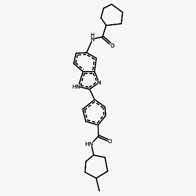 CC1CCC(NC(=O)c2ccc(-c3nc4cc(NC(=O)C5CCCCC5)ccc4[nH]3)cc2)CC1